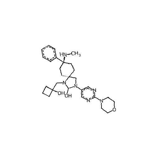 CN[C@]1(c2ccccc2)CC[C@]2(CC1)CN(c1cnc(N3CCOCC3)nc1)C(O)N2CC1(O)CCC1